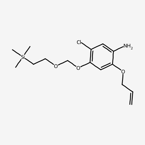 C=CCOc1cc(OCOCC[Si](C)(C)C)c(Cl)cc1N